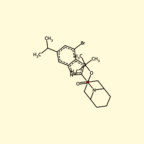 CC(C)c1cc(Br)c2oc(N3CC4CCCC(C3)N4C(=O)OC(C)(C)C)nc2c1